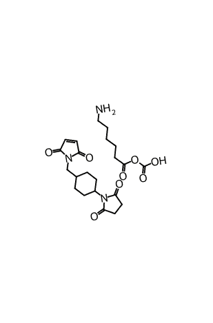 NCCCCCC(=O)OC(=O)O.O=C1C=CC(=O)N1CC1CCC(N2C(=O)CCC2=O)CC1